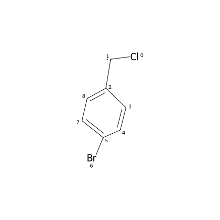 Cl[CH]c1ccc(Br)cc1